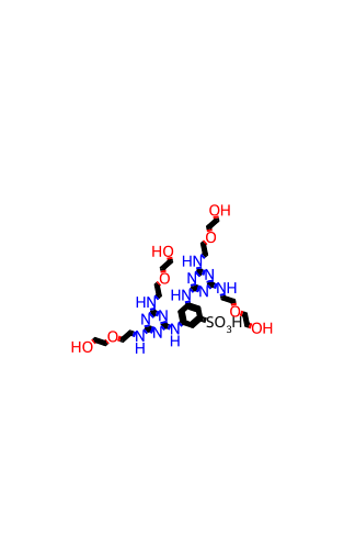 O=S(=O)(O)c1cc(Nc2nc(NCCOCCO)nc(NCCOCCO)n2)cc(Nc2nc(NCCOCCO)nc(NCCOCCO)n2)c1